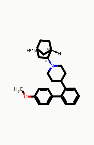 COc1ccc(-c2ccccc2C2CCN([C@H]3C[C@H]4CC[C@H]3C4)CC2)cc1